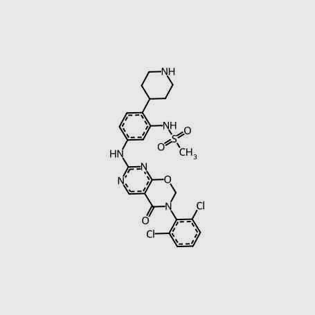 CS(=O)(=O)Nc1cc(Nc2ncc3c(n2)OCN(c2c(Cl)cccc2Cl)C3=O)ccc1C1CCNCC1